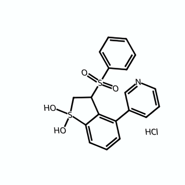 Cl.O=S(=O)(c1ccccc1)C1CS(O)(O)c2cccc(-c3cccnc3)c21